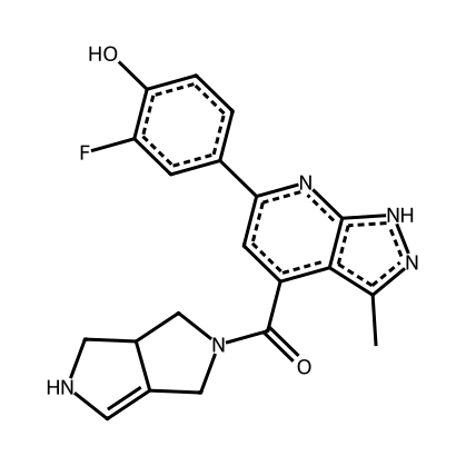 Cc1n[nH]c2nc(-c3ccc(O)c(F)c3)cc(C(=O)N3CC4=CNCC4C3)c12